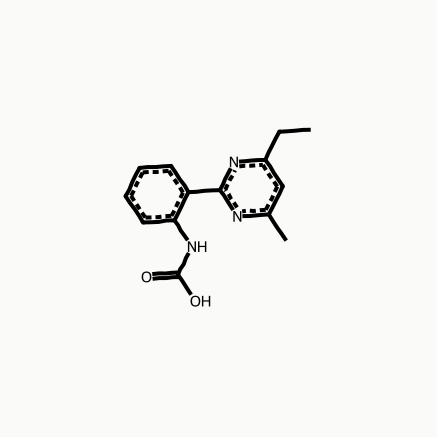 CCc1cc(C)nc(-c2ccccc2NC(=O)O)n1